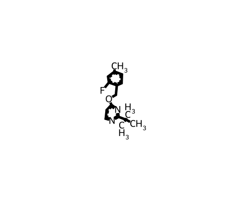 Cc1ccc(COc2ccnc(C(C)(C)C)n2)c(F)c1